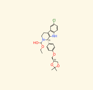 CCOC(O)N1CCc2c([nH]c3ccc(Cl)cc23)[C@@H]1c1ccc(OC[C@H]2COC(C)(C)O2)cc1